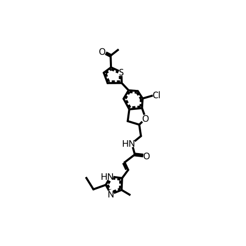 CCc1nc(C)c(/C=C/C(=O)NCC2Cc3cc(-c4ccc(C(C)=O)s4)cc(Cl)c3O2)[nH]1